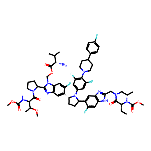 CCCN(Cc1nc2cc(C3CC[C@H](c4cc5nc(C6CCCN6C(=O)C(NC(=O)OC)C(C)OC)n(COC(=O)[C@@H](N)C(C)C)c5cc4F)N3c3cc(F)c(N4CCC(c5ccc(F)cc5)CC4)c(F)c3)c(F)cc2[nH]1)C(=O)[C@H](CC)NC(=O)OC